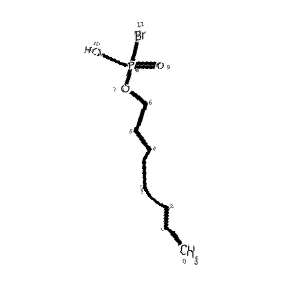 CCCCCCCOP(=O)(O)Br